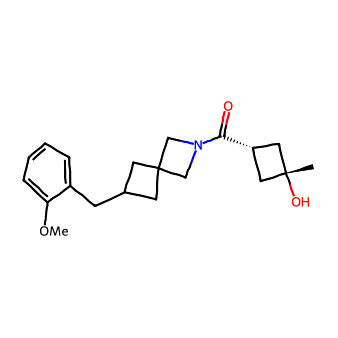 COc1ccccc1CC1CC2(C1)CN(C(=O)[C@H]1C[C@@](C)(O)C1)C2